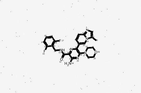 Cc1cnc2ccc(-c3nc(C(=O)NCc4c(F)cccc4F)c(N)nc3N3CCOCC3)cn12